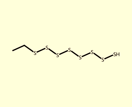 CCSSSSSSSS